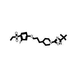 CCS(=O)(=O)c1ccc(OCCCC2CCN(c3nc(C(C)(C)C)no3)CC2)cc1F